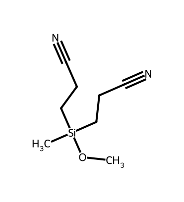 CO[Si](C)(CCC#N)CCC#N